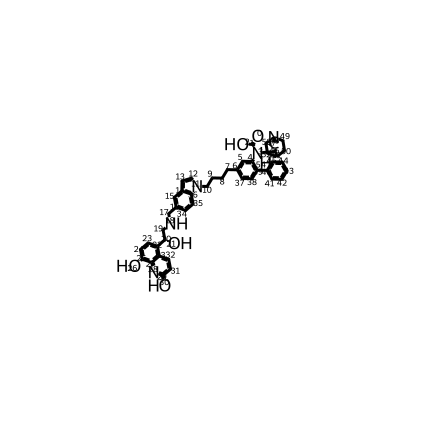 O=C(O)N(c1cc(CCCCn2ccc3cc(CNC[C@H](O)c4ccc(O)c5[nH]c(=O)ccc45)ccc32)ccc1-c1ccccc1)[C@H]1CN2CCC1CC2